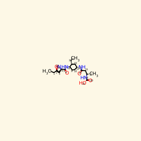 CCc1cc(C(=O)N[C@@H]2CC[C@@H](NC(=O)C[C@H](C)NC(=O)O)C[C@@H]2CC)no1